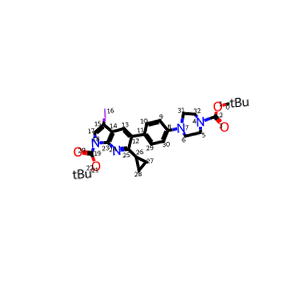 CC(C)(C)OC(=O)N1CCN(c2ccc(-c3cc4c(I)cn(C(=O)OC(C)(C)C)c4nc3C3CC3)cc2)CC1